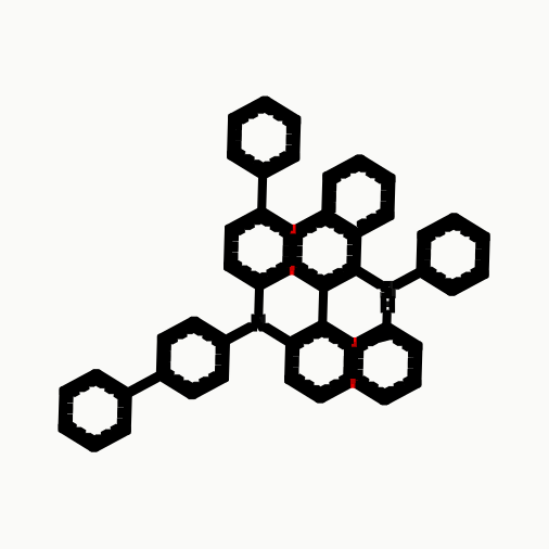 Cc1cccc(N(c2ccc(-c3ccccc3)cc2)c2ccc(-c3ccccc3)cc2)c1-c1ccc2ccccc2c1[SiH](c1ccccc1)c1ccccc1